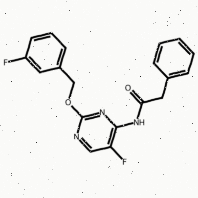 O=C(Cc1ccccc1)Nc1nc(OCc2cccc(F)c2)ncc1F